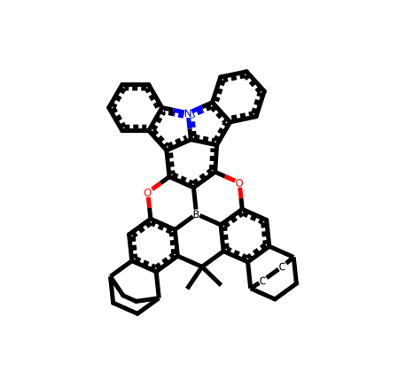 CC1(C)c2c3c(cc4c2C2CCC4CC2)Oc2c4c(c5c6ccccc6n6c7ccccc7c2c56)Oc2cc5c(c1c2B34)C1CCC5CC1